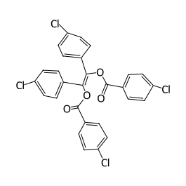 O=C(OC(=C(OC(=O)c1ccc(Cl)cc1)c1ccc(Cl)cc1)c1ccc(Cl)cc1)c1ccc(Cl)cc1